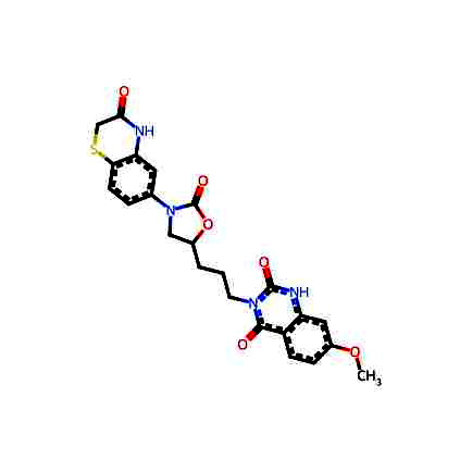 COc1ccc2c(=O)n(CCCC3CN(c4ccc5c(c4)NC(=O)CS5)C(=O)O3)c(=O)[nH]c2c1